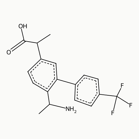 CC(N)c1ccc(C(C)C(=O)O)cc1-c1ccc(C(F)(F)F)cc1